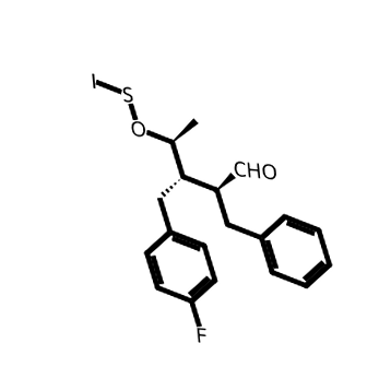 C[C@H](OSI)[C@@H](Cc1ccc(F)cc1)[C@@H](C=O)Cc1ccccc1